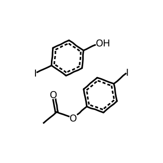 CC(=O)Oc1ccc(I)cc1.Oc1ccc(I)cc1